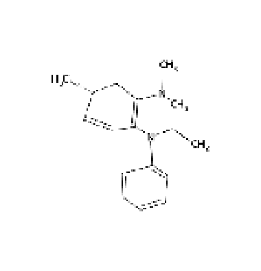 CCN(C1=C(N(C)C)C[C@@H](C)C=C1)c1ccccc1